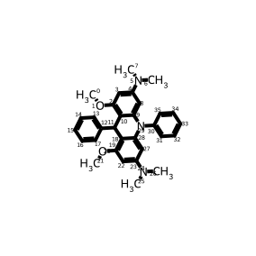 COc1cc(N(C)C)cc2c1C(c1ccccc1)c1c(OC)cc(N(C)C)cc1N2c1ccccc1